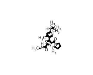 CCNC(=O)c1nc(C(=O)N2CCC[C@@H]2C)c(-c2cnc(NC(C)(C)C)cc2C)s1